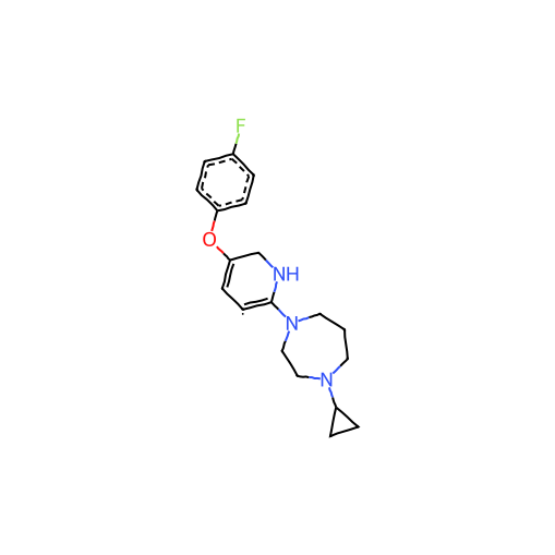 Fc1ccc(OC2=C[C]=C(N3CCCN(C4CC4)CC3)NC2)cc1